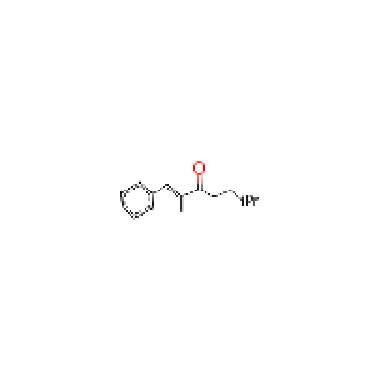 C/C(=C\c1ccccc1)C(=O)CCC(C)C